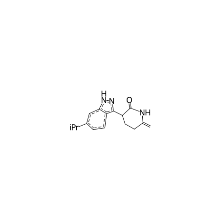 C=C1CCC(c2n[nH]c3cc(C(C)C)ccc23)C(=O)N1